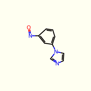 O=Nc1cccc(-n2ccnc2)c1